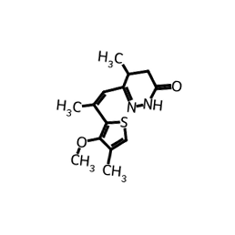 COc1c(C)csc1C(C)=CC1=NNC(=O)CC1C